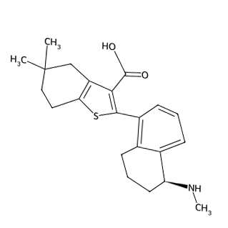 CN[C@H]1CCCc2c(-c3sc4c(c3C(=O)O)CC(C)(C)CC4)cccc21